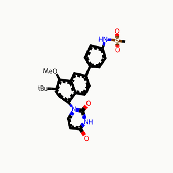 COc1c(C(C)(C)C)cc(-n2ccc(=O)[nH]c2=O)c2ccc(-c3ccc(NS(C)(=O)=O)cc3)cc12